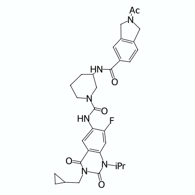 CC(=O)N1Cc2ccc(C(=O)NC3CCCN(C(=O)Nc4cc5c(=O)n(CC6CC6)c(=O)n(C(C)C)c5cc4F)C3)cc2C1